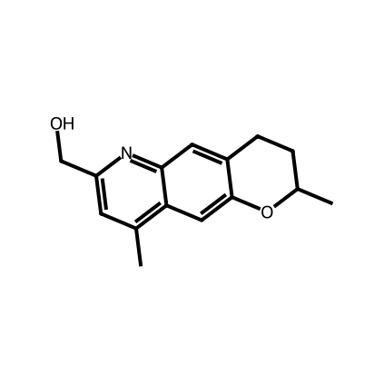 Cc1cc(CO)nc2cc3c(cc12)OC(C)CC3